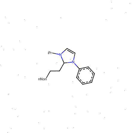 CCCCCCCCCCCC1N(c2ccccc2)C=CN1C(C)C